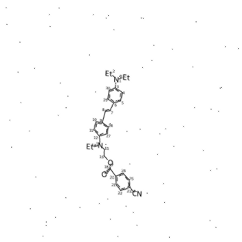 CCN(CC)c1ccc(/C=C/c2ccc(N(CC)CCOC(=O)c3ccc(C#N)cc3)cc2)cc1